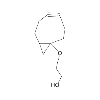 OCCOC12CCC#CCCC1C2